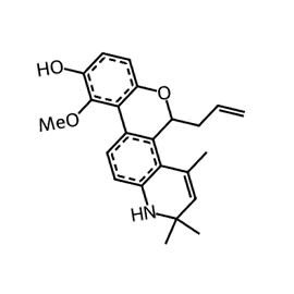 C=CCC1Oc2ccc(O)c(OC)c2-c2ccc3c(c21)C(C)=CC(C)(C)N3